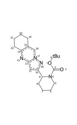 CC(C)(C)OC(=O)N1CCCCC1c1cc2nc3c(cn2n1)CCCC3